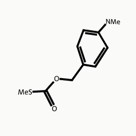 CNc1ccc(COC(=O)SC)cc1